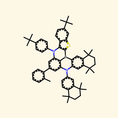 Cc1ccccc1-c1cc2c3c(c1)N(c1ccc(C(C)(C)C)cc1)c1c(sc4cc(C(C)(C)C)ccc14)B3c1cc3c(cc1N2c1ccc2c(c1)C(C)(C)CCC2(C)C)C(C)(C)CCC3(C)C